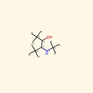 CC(C)(C)NC(C(O)C(C)(C)C)C(C)(C)C